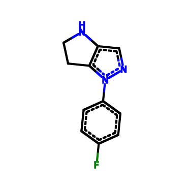 Fc1ccc(-n2ncc3c2CCN3)cc1